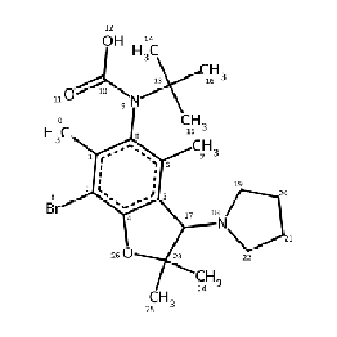 Cc1c(Br)c2c(c(C)c1N(C(=O)O)C(C)(C)C)C(N1CCCC1)C(C)(C)O2